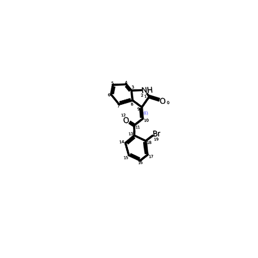 O=C1Nc2ccccc2/C1=C\C(=O)c1ccccc1Br